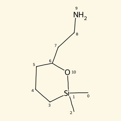 C[Si]1(C)CCCC(CCN)O1